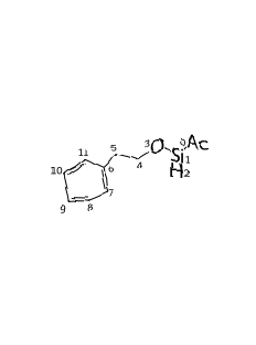 CC(=O)[SiH](C)OCCc1ccccc1